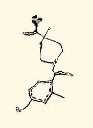 C=C(C)C1(F)CCN(C(=O)c2ccc(Br)cc2C)CC1